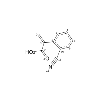 C=C(C(=O)O)c1ccccc1C#N